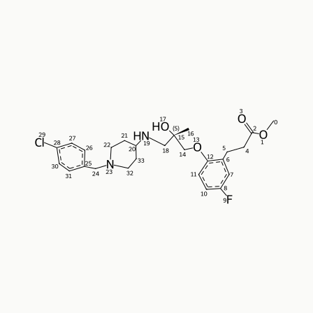 COC(=O)CCc1cc(F)ccc1OC[C@@](C)(O)CNC1CCN(Cc2ccc(Cl)cc2)CC1